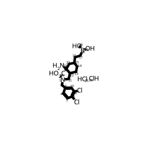 CN(Cc1ccc(Cl)c(Cl)c1)CC1CCC(CCB(O)O)CC1(N)C(=O)O.Cl.Cl